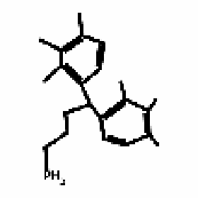 Cc1ccc(C(CCCP)c2ccc(C)c(C)c2C)c(C)c1C